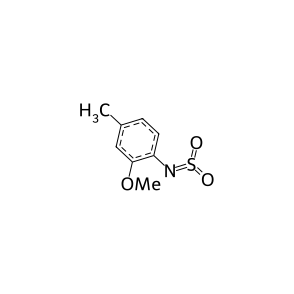 COc1cc(C)ccc1N=S(=O)=O